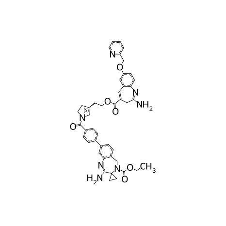 CCOC(=O)N1Cc2ccc(-c3ccc(C(=O)N4CC[C@@H](CCOC(=O)C5=Cc6cc(OCc7ccccn7)ccc6N=C(N)C5)C4)cc3)cc2N=C(N)C12CC2